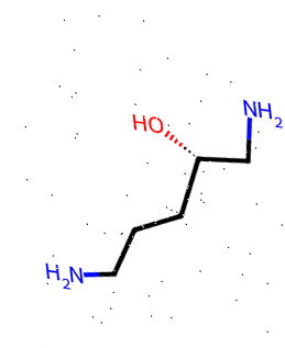 NCCC[C@H](O)CN